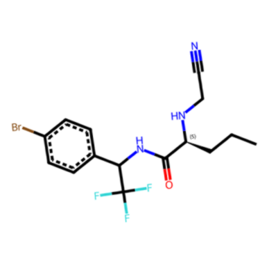 CCC[C@H](NCC#N)C(=O)NC(c1ccc(Br)cc1)C(F)(F)F